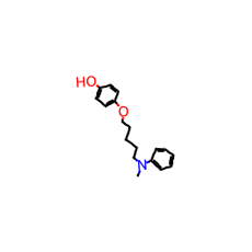 CN(CCCCCOc1ccc(O)cc1)c1ccccc1